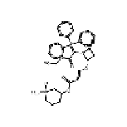 CC(=O)COC(=O)C(N1C(=O)C[C@@H]1SC=CC(=O)OC1CCCC(C)(C(C)C)C1)=P(c1ccccc1)(c1ccccc1)c1ccccc1